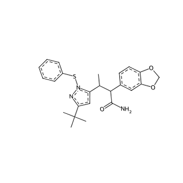 CC(c1cc(C(C)(C)C)nn1Sc1ccccc1)C(C(N)=O)c1ccc2c(c1)OCO2